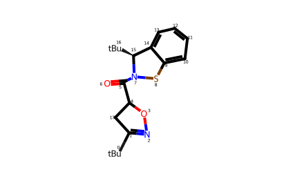 CC(C)(C)C1=NOC(C(=O)N2Sc3ccccc3[C@@H]2C(C)(C)C)C1